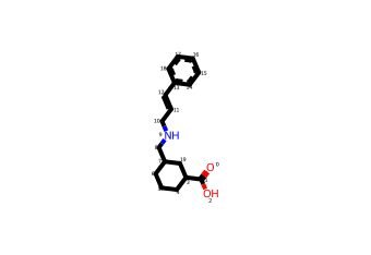 O=C(O)C1CCCC(CNC/C=C/c2ccccc2)C1